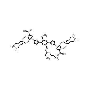 CCCCC(CC)COc1cc(-c2ccc(-c3sc(B(O)O)c4c3OCC(CCCC)(CCCC)CO4)s2)c(OC)cc1-c1ccc(-c2sc(B(O)O)c3c2OCC(CCCC)(CCCC)CO3)s1